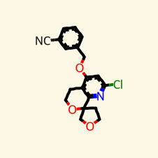 N#Cc1cccc(COc2cc(Cl)nc3c2CCOC32CCOC2)c1